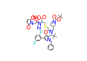 CC(C)(C)OC(=O)N1CCC(CN(C(=O)CSCC(NC(=O)CN2C(=O)C=CC2=O)C(=O)O)C(c2cc(-c3cc(F)ccc3F)cn2Cc2ccccc2)C(C)(C)C)C1